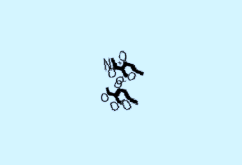 CC(=O)C1C(=O)C=C(C)OC1=O.CC(=O)c1c([O-])cc(C)oc1=O.[Na+]